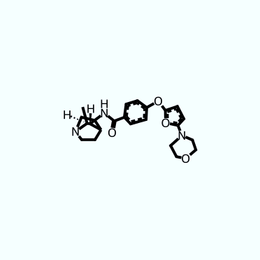 C[C@H]1[C@H](NC(=O)c2ccc(Oc3ccc(N4CCOCC4)o3)cc2)C2CCN1CC2